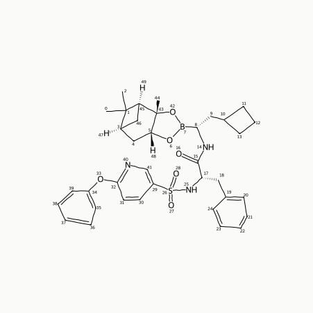 CC1(C)[C@@H]2C[C@H]3OB([C@H](CC4CCC4)NC(=O)[C@H](Cc4ccccc4)NS(=O)(=O)c4ccc(Oc5ccccc5)nc4)O[C@@]3(C)[C@H]1C2